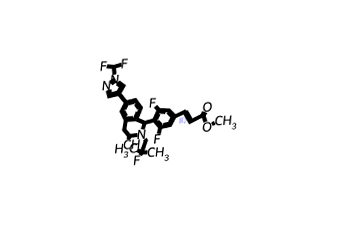 COC(=O)/C=C/c1cc(F)c(C2c3ccc(-c4cnn(C(F)F)c4)cc3CC(C)N2CC(C)(C)F)c(F)c1